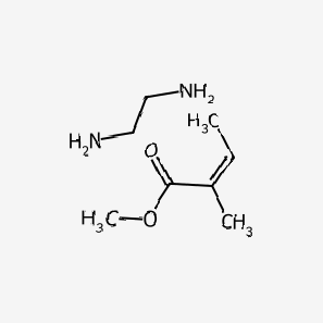 CC=C(C)C(=O)OC.NCCN